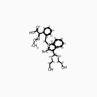 CON=C(C(=O)O)c1ccccc1Cn1c(Br)c(C(SCCO)SCCO)c2ccccc21